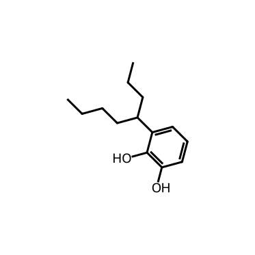 CCCCC(CCC)c1cccc(O)c1O